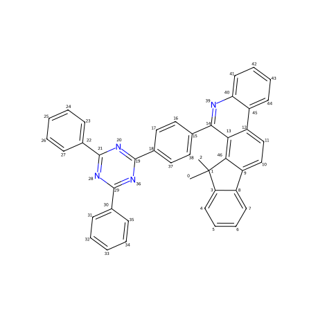 CC1(C)c2ccccc2-c2ccc3c(c(-c4ccc(-c5nc(-c6ccccc6)nc(-c6ccccc6)n5)cc4)nc4ccccc43)c21